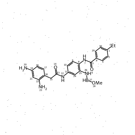 CCc1ccc(C(=O)Nc2ccc(NC(=O)Cc3ccc(N)cc3N)cc2NBOC)cc1